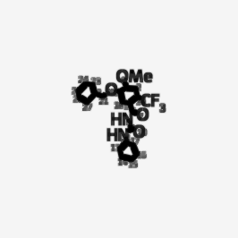 COc1cc(C(F)(F)F)c(C(=O)NC(=O)Nc2ccccc2)cc1OCc1ccccc1